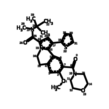 COc1cc2c(cc1C(=O)N1CCOCC1)-c1c(-c3cccs3)cc(C(=O)N(C)C(C)(C)C)n1CC2